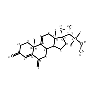 C=C1CC2C(=CC[C@@]3(C)C2CC[C@]3(O)[C@H](Cl)[Si](C)(C)OC#N)[C@@]2(C)CCC(=O)C=C12